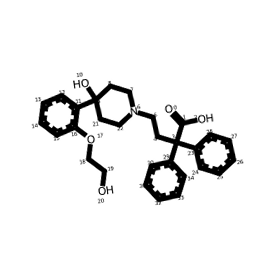 O=C(O)C(CCN1CCC(O)(c2ccccc2OCCO)CC1)(c1ccccc1)c1ccccc1